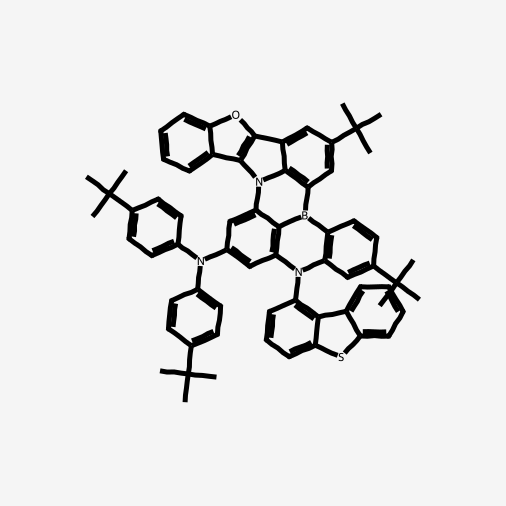 CC(C)(C)c1ccc(N(c2ccc(C(C)(C)C)cc2)c2cc3c4c(c2)-n2c5c(cc(C(C)(C)C)cc5c5oc6ccccc6c52)B4c2ccc(C(C)(C)C)cc2N3c2cccc3sc4ccccc4c23)cc1